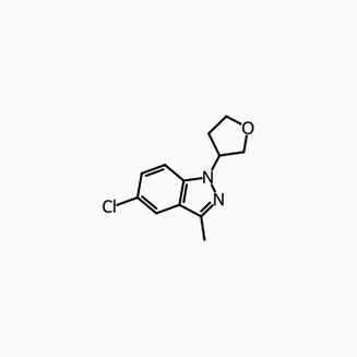 Cc1nn(C2CCOC2)c2ccc(Cl)cc12